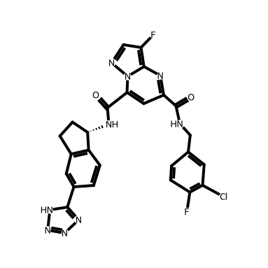 O=C(NCc1ccc(F)c(Cl)c1)c1cc(C(=O)N[C@H]2CCc3cc(-c4nnn[nH]4)ccc32)n2ncc(F)c2n1